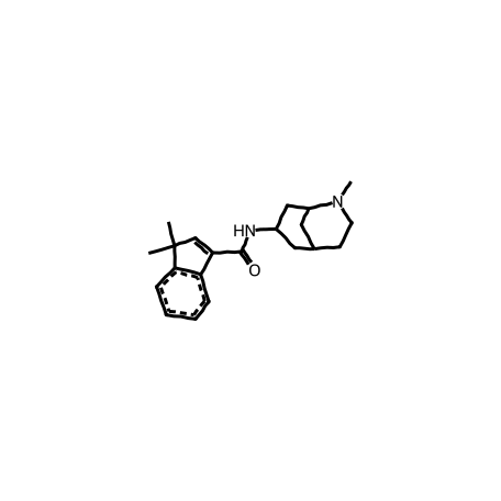 CN1CCC2CC(NC(=O)C3=CC(C)(C)c4ccccc43)CC1C2